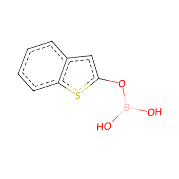 OB(O)Oc1cc2ccccc2s1